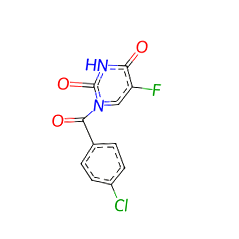 O=C(c1ccc(Cl)cc1)n1cc(F)c(=O)[nH]c1=O